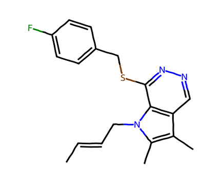 CC=CCn1c(C)c(C)c2cnnc(SCc3ccc(F)cc3)c21